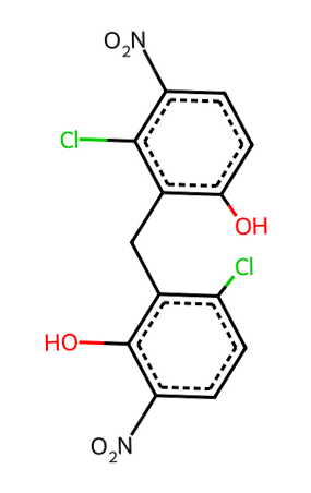 O=[N+]([O-])c1ccc(Cl)c(Cc2c(O)ccc([N+](=O)[O-])c2Cl)c1O